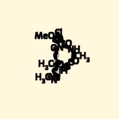 COc1ccc(C[C@H]2NC(=O)/C=C/C[C@@H]([C@H](C)/C=C/c3ccnn3C)OC(=O)[C@H](CC(C)C)OC(=O)[C@H](C)CNC2=O)cc1Cl